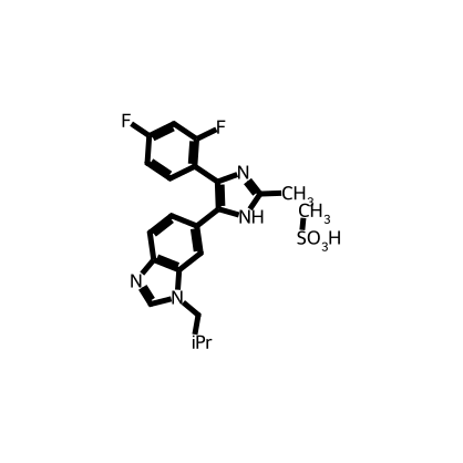 CS(=O)(=O)O.Cc1nc(-c2ccc(F)cc2F)c(-c2ccc3ncn(CC(C)C)c3c2)[nH]1